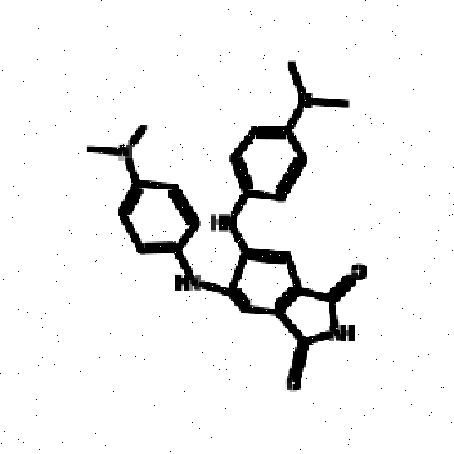 CN(C)c1ccc(Nc2cc3c(cc2Nc2ccc(N(C)C)cc2)C(=O)NC3=O)cc1